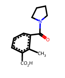 Cc1c(C(=O)O)cccc1C(=O)N1CCCC1